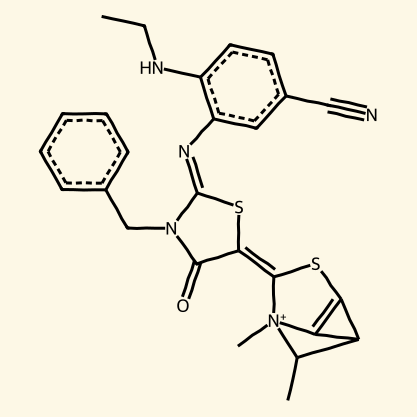 CCNc1ccc(C#N)cc1N=C1SC(=C2SC3=C4C3C(C)[N+]24C)C(=O)N1Cc1ccccc1